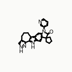 O=C1N(c2cccnc2)c2cc3c4c([nH]c3cc2C12CCCC2)-c1n[nH]cc1CCC4